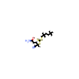 CC(C)(C)CCC(C)(C)CSC(=S)SC(C)(C#N)CCC(N)=O